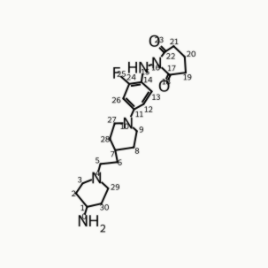 NC1CCN(CCC2CCN(c3ccc(NN4C(=O)CCCC4=O)c(F)c3)CC2)CC1